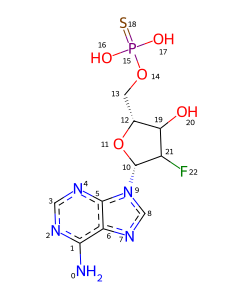 Nc1ncnc2c1ncn2[C@@H]1O[C@H](COP(O)(O)=S)C(O)C1F